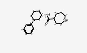 O=C(N[C@H]1CCCN(c2ccccc2)C1)C1CCCNCC1